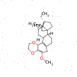 CC[C@@]12CCC3(C[C@H]1C)[C@@H]1CCC4=C(C5OCCOC5=C(OC)C4)[C@H]1CC[C@@]32C